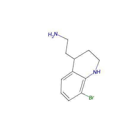 NCCC1CCNc2c(Br)cccc21